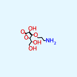 NCCCOC1=C(O)C(=O)O[C@@H]1[C@@H](O)CO